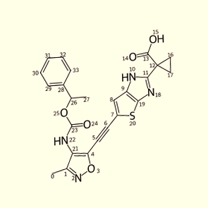 Cc1noc(C#Cc2cc3[nH]c(C4(C(=O)O)CC4)nc3s2)c1NC(=O)OC(C)c1ccccc1